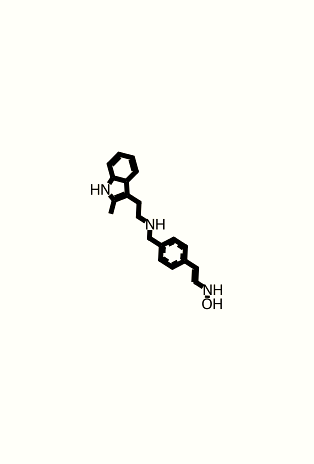 CC1=C(CCNCc2ccc(/C=C/NO)cc2)C2C=CC=CC2N1